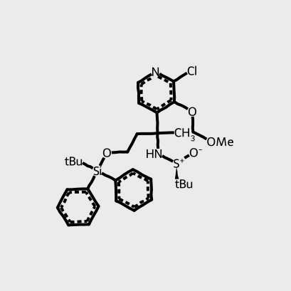 COCOc1c(C(C)(CCO[Si](c2ccccc2)(c2ccccc2)C(C)(C)C)N[S@@+]([O-])C(C)(C)C)ccnc1Cl